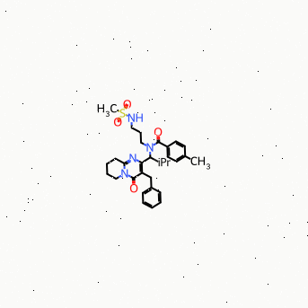 Cc1ccc(C(=O)N(CCCNS(C)(=O)=O)C(c2nc3n(c(=O)c2Cc2ccccc2)CCCC3)C(C)C)cc1